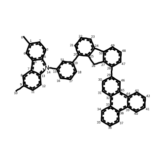 Cc1ccc2c(c1)c1cc(C)ccc1n2-c1cccc(-c2cccc3c2Cc2c(-c4ccc5c6ccccc6c6ccccc6c5c4)cccc2-3)c1